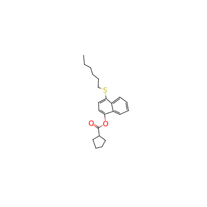 CCCCCCSc1ccc(OC(=O)C2CCCC2)c2ccccc12